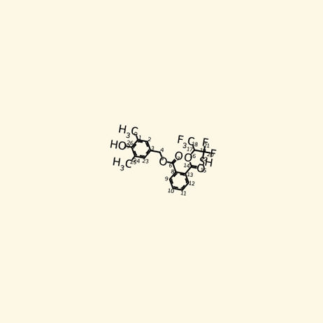 Cc1cc(COC(=O)c2ccccc2C(=O)OC(C(F)(F)F)C(F)(F)S)cc(C)c1O